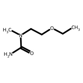 CCOCCN(C)C(N)=O